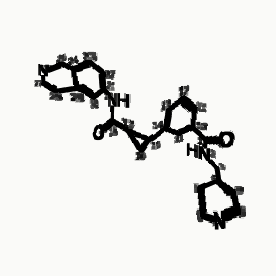 O=C(NCc1ccncc1)c1cccc(C2CC2C(=O)Nc2ccc3cnccc3c2)c1